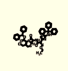 CCO/N=C(\C(=O)NC1C(=O)N2C(C(=O)OC(c3ccccc3)c3ccccc3)=C(CCl)CS[C@@H]12)c1csc(NC(c2ccccc2)(c2ccccc2)c2ccccc2)n1